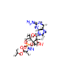 CC(C)OC(=O)[C@H](C)N[P@@]1(=O)OC[C@H]2O[C@@H](n3cnc4cnc(N)nc43)[C@](C)(O)[C@@H]2O1